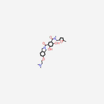 Cc1ccc(CN(C)C(=O)c2cc(C(=O)N3Cc4ccc(OCCN(C)C)cc4C3)c(O)cc2O)o1